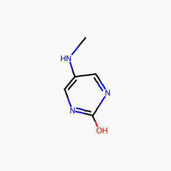 CNc1cnc(O)nc1